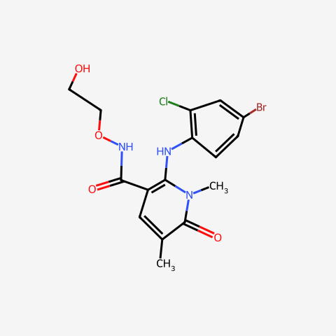 Cc1cc(C(=O)NOCCO)c(Nc2ccc(Br)cc2Cl)n(C)c1=O